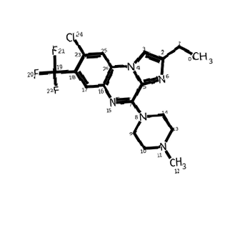 CCc1cn2c(n1)c(N1CCN(C)CC1)nc1cc(C(F)(F)F)c(Cl)cc12